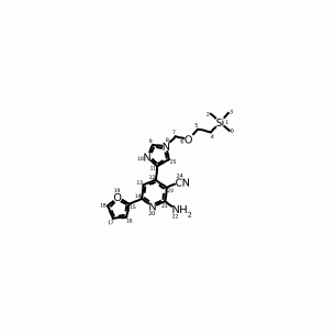 C[Si](C)(C)CCOCn1cnc(-c2cc(-c3ccco3)nc(N)c2C#N)c1